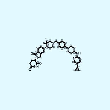 O=C1CCC(N2Cc3cc([C@@H]4CCN(Cc5ccc(N6CCC(Nc7ncc(C8CC8)cn7)CC6)cc5)CC4(F)F)ccc3C2=O)C(=O)N1